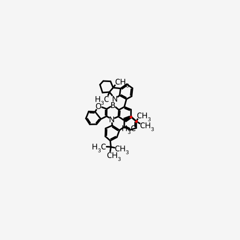 CC(C)(C)c1ccc(N2c3cc(C(C)(C)C)cc4c3B(c3oc5ccccc5c32)N2c3c-4cccc3C3(C)CCCCC23C)c(-c2ccccc2)c1